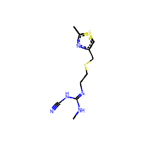 CN/C(=N/CCSCc1csc(C)n1)NC#N